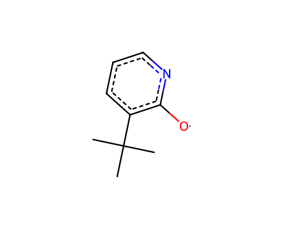 CC(C)(C)c1cccnc1[O]